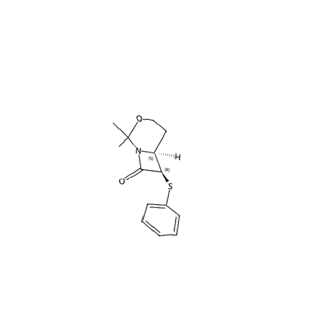 CC1(C)OCC[C@H]2[C@@H](Sc3ccccc3)C(=O)N21